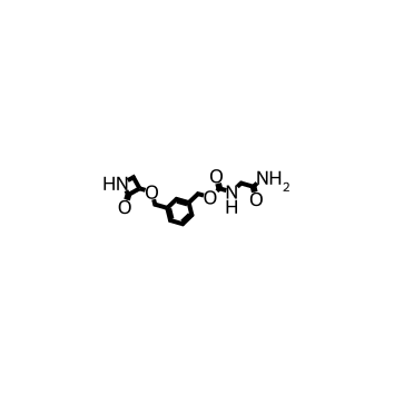 NC(=O)CNC(=O)OCc1cccc(COC2CNC2=O)c1